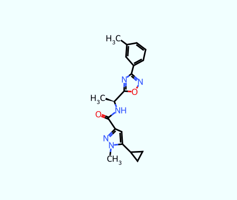 Cc1cccc(-c2noc([C@H](C)NC(=O)c3cc(C4CC4)n(C)n3)n2)c1